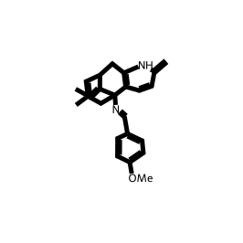 C=C1C=CC2=C(CC3C=C(C)CC2(N=Cc2ccc(OC)cc2)/C3=C/C)N1